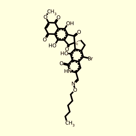 CCCCCCON=Cc1cc2c(Br)c3c(c(O)c2c(=O)[nH]1)[C@@]1(CC3)C(=O)c2c(O)c3c(c(O)c2C1=O)C(=O)C(OC)=CC3=O